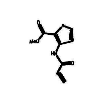 C=CC(=O)Nc1ccsc1C(=O)OC